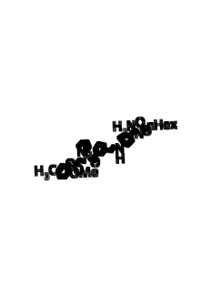 CCCCCCOC(=O)/N=C(\N)c1ccc(NCCc2cccc(C(=O)N(CCC(=O)Oc3cc(C)ccc3OC)c3ccccn3)c2)cc1